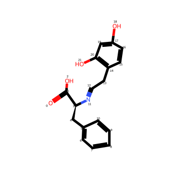 O=C(O)[C@H](Cc1ccccc1)N=CCc1ccc(O)cc1O